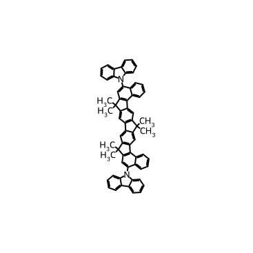 CC1(C)c2cc3c(cc2-c2cc4c(cc21)-c1c(cc(-n2c5ccccc5c5ccccc52)c2ccccc12)C4(C)C)C(C)(C)c1cc(-n2c4ccccc4c4ccccc42)c2ccccc2c1-3